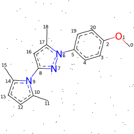 COc1ccc(-n2nc(-n3c(C)ccc3C)cc2C)cc1